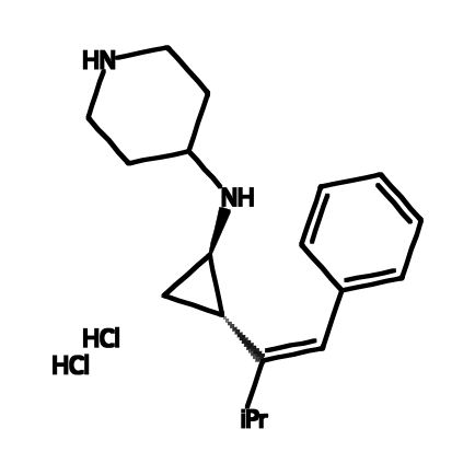 CC(C)C(=Cc1ccccc1)[C@@H]1C[C@H]1NC1CCNCC1.Cl.Cl